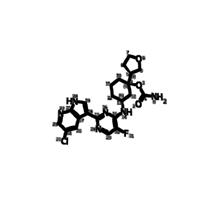 NC(=O)O[C@]1([C@H]2CCOC2)CCC[C@H](Nc2nc(-c3c[nH]c4ncc(Cl)cc34)ncc2F)C1